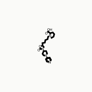 O=C(O)C1CCCCN1CCCCCC1CN(C2CCN(c3ccncc3)CC2)C(=O)O1